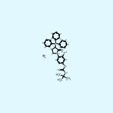 CC(C)(C)OC(=O)Oc1ccc(N2CCC([P+](c3ccccc3)(c3ccccc3)c3ccccc3)C2=O)c(F)c1.[Br-]